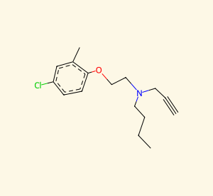 C#CCN(CCCC)CCOc1ccc(Cl)cc1C